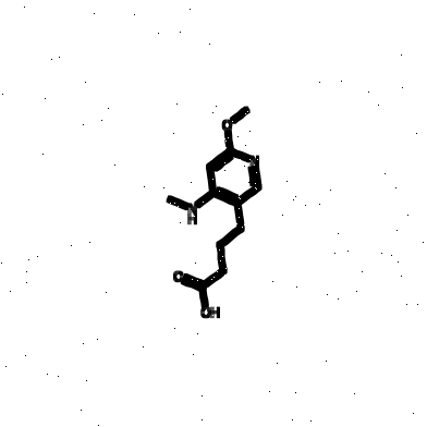 CNc1cc(OC)ncc1CCCC(=O)O